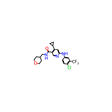 O=C(NCC1CCOCC1)c1cnc(Nc2ccc(Cl)c(C(F)(F)F)c2)cc1C1CC1